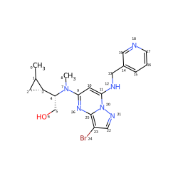 CC1C[C@H]1[C@@H](CO)N(C)c1cc(NCc2cccnc2)n2ncc(Br)c2n1